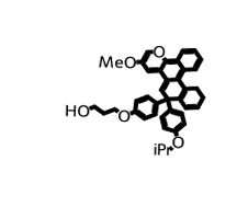 COC1=COc2c(c3c(c4ccccc24)C2=C(C=CCC2)C(c2ccc(OCCCO)cc2)(c2ccc(OC(C)C)cc2)C=3)=C1